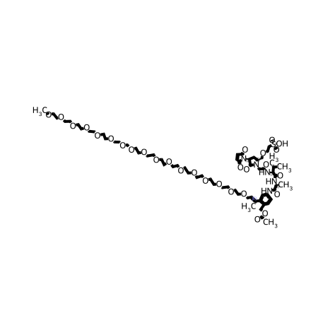 COCCOCCOCCOCCOCCOCCOCOCCOCCOCCOCCOCCOCCOCCOCCOCCOC/C=C(\C)c1cc(NC(=O)[C@H](C)NC(=O)[C@@H](NC(=O)CN2C(=O)[C@@H](N3C(=O)C=CC3=O)C[C@H]2COCCS(=O)(=O)O)C(C)C)ccc1COC(C)=O